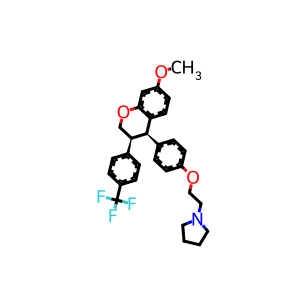 COc1ccc2c(c1)OC[C@H](c1ccc(C(F)(F)F)cc1)[C@@H]2c1ccc(OCCN2CCCC2)cc1